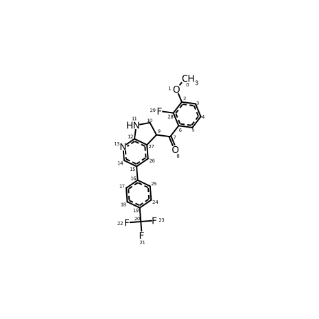 COc1cccc(C(=O)C2CNc3ncc(-c4ccc(C(F)(F)F)cc4)cc32)c1F